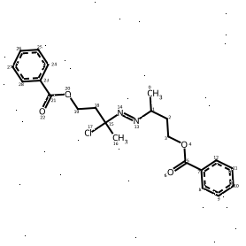 CC(CCOC(=O)c1ccccc1)/N=N/C(C)(Cl)CCOC(=O)c1ccccc1